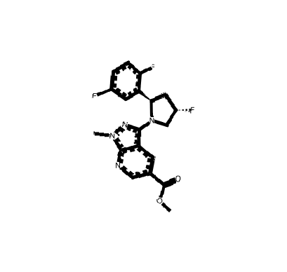 COC(=O)c1cnc2c(c1)c(N1C[C@@H](F)C[C@@H]1c1cc(F)ccc1F)nn2C